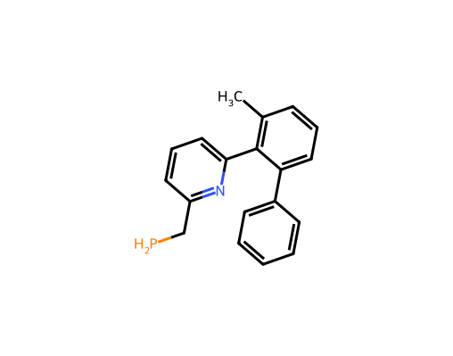 Cc1cccc(-c2ccccc2)c1-c1cccc(CP)n1